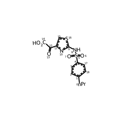 CCCc1ccc(S(=O)(=O)Nc2nc(C(=O)C(=O)O)cs2)cc1